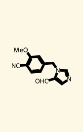 COc1cc(Cn2cncc2C=O)ccc1C#N